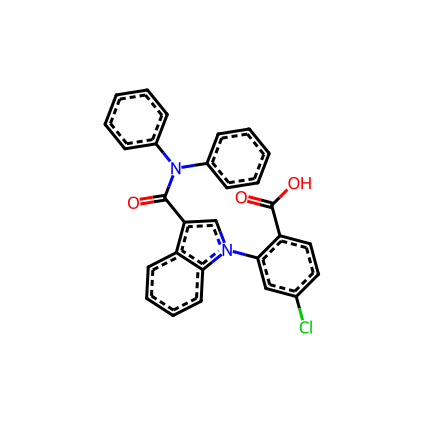 O=C(O)c1ccc(Cl)cc1-n1cc(C(=O)N(c2ccccc2)c2ccccc2)c2ccccc21